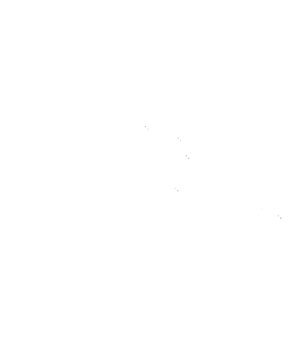 CNC(=O)/C(F)=C\c1cccc(Nc2nn(Cc3ccc(OC)cc3)c3nccc(Oc4ccc(Oc5ccccc5)cc4)c23)c1